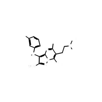 CNc1nn2c(C)c(CCN(C)C)c(C)nc2c1[S+]([O-])c1cccc(F)c1